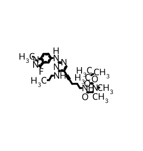 CCCNc1nc(Nc2ccc3c(c2)c(F)nn3C)ncc1C#CCCCNC(=O)[C@H](C)N(C)C(=O)OC(C)(C)C